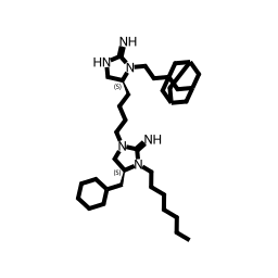 CCCCCCCN1C(=N)N(CCCC[C@H]2CNC(=N)N2CCC23CC4CC(CC(C4)C2)C3)C[C@@H]1CC1CCCCC1